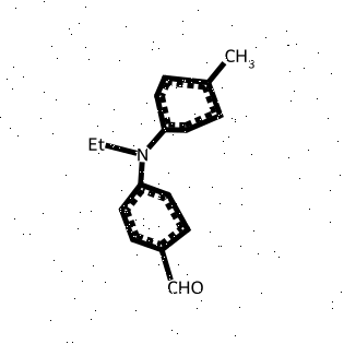 CCN(c1ccc(C)cc1)c1ccc(C=O)cc1